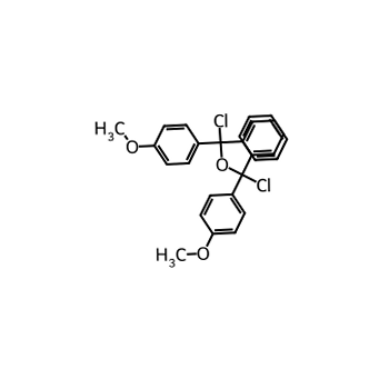 COc1ccc(C(Cl)(OC(Cl)(c2ccccc2)c2ccc(OC)cc2)c2ccccc2)cc1